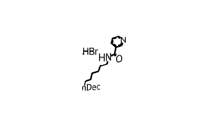 Br.CCCCCCCCCCCCCCCCNC(=O)c1cccnc1